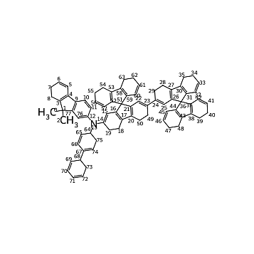 CC1(C)C2=C(C=CCC2)c2ccc(N(C3=CC4=C(CC3)C3=C(C=C(C5=CC6=C(CC5)C5=C(C=CCC5)C65C6=C(CCC=C6)C6=C5C=CCC6)CC3)C43C4=C(CCC=C4)C4=C3C=CCC4)C3C=CC(C4C=CC=CC4)=CC3)cc21